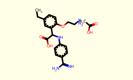 CC(=O)O.CCc1ccc(OCCN)c(C(Nc2ccc(C(=N)N)cc2)C(=O)O)c1